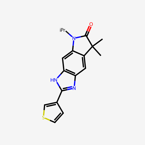 CC(C)N1C(=O)C(C)(C)c2cc3nc(-c4ccsc4)[nH]c3cc21